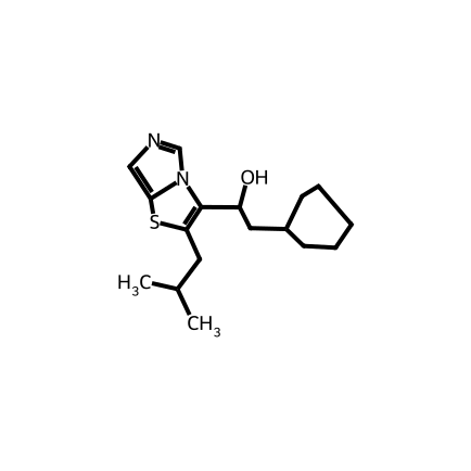 CC(C)Cc1sc2cncn2c1C(O)CC1CCCCC1